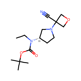 CCN(C(=O)OC(C)(C)C)[C@H]1CCN(C2(C#N)COC2)C1